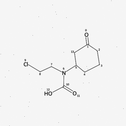 O=C1CCCC(N(CCCl)C(=O)O)C1